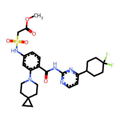 COC(=O)CS(=O)(=O)Nc1ccc(C(=O)Nc2nccc(C3CCC(F)(F)CC3)n2)c(N2CCC3(CC2)CC3)c1